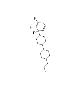 CCCC1CCC(C2CCC(C3(F)C=CCC(F)=C3F)CC2)CC1